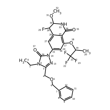 CCn1c(COCc2ccccc2)nn(-c2cc(OC(C)C(F)(F)F)c3c(c2)C(F)C(OC)NC3=O)c1=O